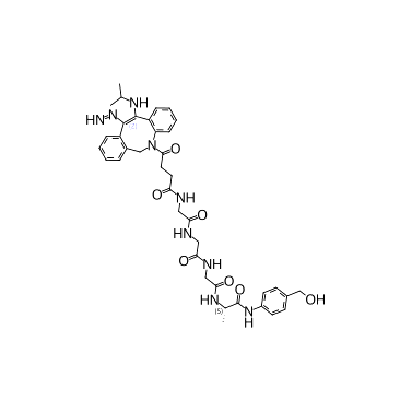 CC(C)N/C1=C(\N=N)c2ccccc2CN(C(=O)CCC(=O)NCC(=O)NCC(=O)NCC(=O)N[C@@H](C)C(=O)Nc2ccc(CO)cc2)c2ccccc21